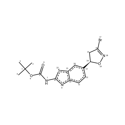 CC(C)(C)OC(=O)Nc1nc2ccc([C@H]3CC(Br)=NO3)cc2s1